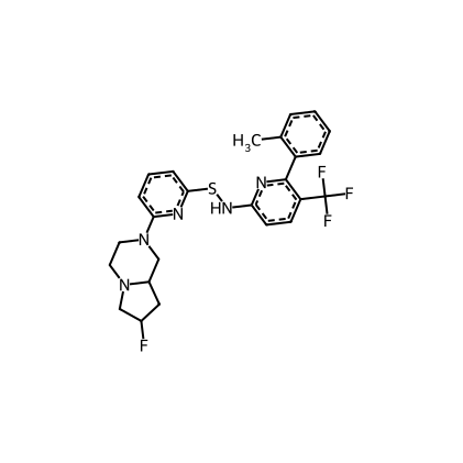 Cc1ccccc1-c1nc(NSc2cccc(N3CCN4CC(F)CC4C3)n2)ccc1C(F)(F)F